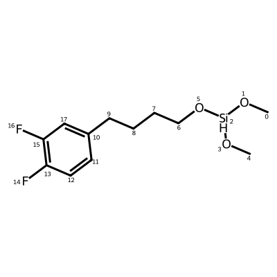 CO[SiH](OC)OCCCCc1ccc(F)c(F)c1